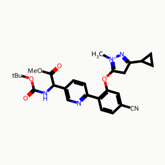 COC(=O)C(NC(=O)OC(C)(C)C)c1ccc(-c2ccc(C#N)cc2OC2=[N+](C)N=C(C3CC3)C2)nc1